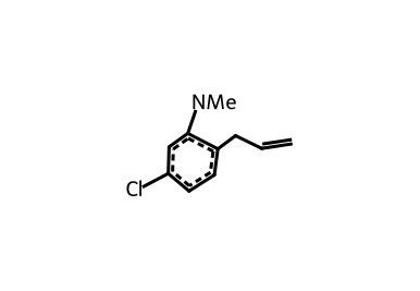 C=CCc1ccc(Cl)cc1NC